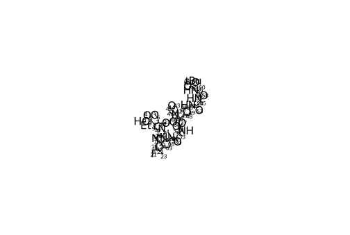 CC[C@@]1(O)C(=O)OCc2c1cc1n(c2=O)Cc2c-1nc1cc(F)c(C)c3c1c2[C@@H](NC(=O)C(C)(C)NC(=O)OC(C(=O)N1CCOCC1)c1ccc(NC(=O)[C@H](C)NC(=O)[C@H](C)NC(=O)OC(C)(C)C)cc1)CC3